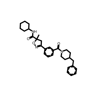 CC1(C(=O)NC2CCCCC2)CC(c2cccc(C(=O)N3CCC(Cc4ccccc4)CC3)c2)=NO1